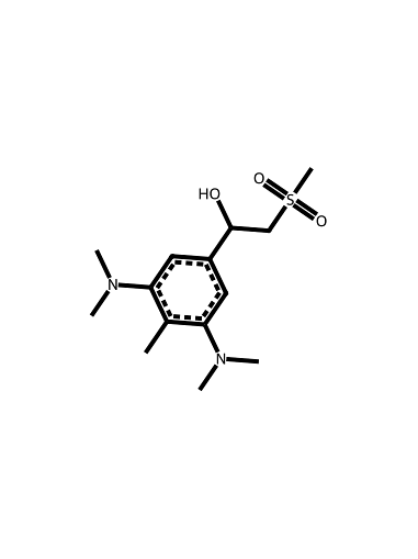 Cc1c(N(C)C)cc(C(O)CS(C)(=O)=O)cc1N(C)C